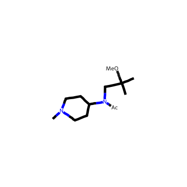 COC(C)(C)CN(C(C)=O)C1CCN(C)CC1